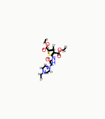 CCOC(=O)c1sc(NC(=O)CN2CCN(CC)CC2)c(C(=O)OCC)c1C